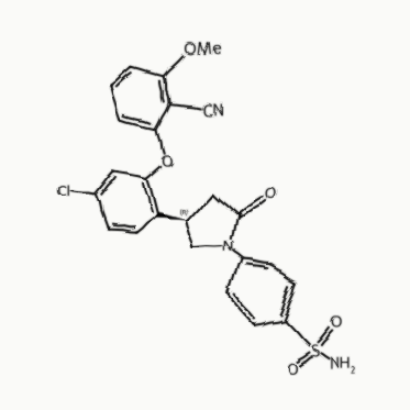 COc1cccc(Oc2cc(Cl)ccc2[C@H]2CC(=O)N(c3ccc(S(N)(=O)=O)cc3)C2)c1C#N